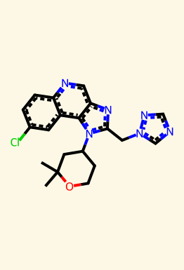 CC1(C)CC(n2c(Cn3cncn3)nc3cnc4ccc(Cl)cc4c32)CCO1